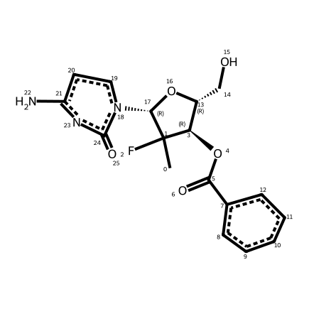 CC1(F)[C@H](OC(=O)c2ccccc2)[C@@H](CO)O[C@H]1n1ccc(N)nc1=O